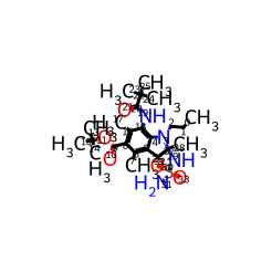 CCCN1c2c(c(C)c(C(=O)OC(C)(C)C)c(C)c2NC(=O)C(C)(C)C)CC1(C)NS(N)(=O)=O